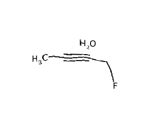 CC#CCF.O